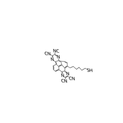 [C-]#[N+]c1nc2c3cccc4c5nc(C#N)c(C#N)nc5c5c(CCCCCCS)ccc(c2nc1[N+]#[C-])c5c34